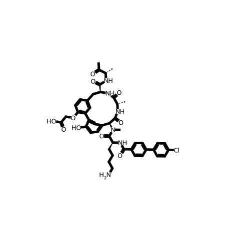 CC(=O)[C@H](C)NC(=O)[C@@H]1Cc2ccc(OCC(=O)O)c(c2)-c2cc(ccc2O)[C@H](N(C)C(=O)[C@H](CCCCN)NC(=O)c2ccc(-c3ccc(Cl)cc3)cc2)C(=O)N[C@@H](C)C(=O)N1